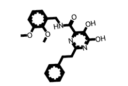 COc1cccc(CNC(=O)c2nc(CCc3ccccc3)nc(O)c2O)c1OC